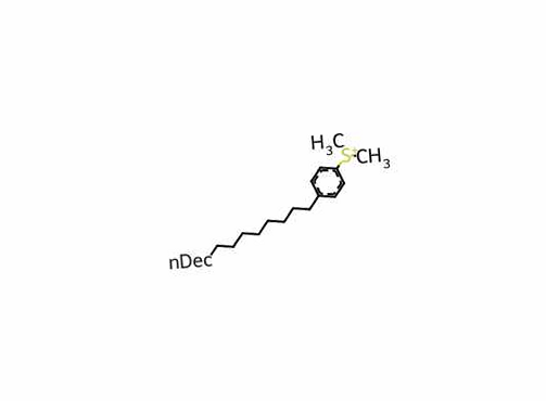 CCCCCCCCCCCCCCCCCCc1ccc([S+](C)C)cc1